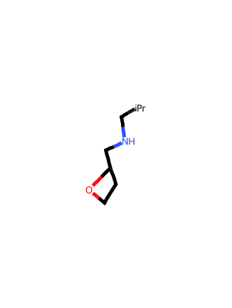 CC(C)CNCC1CCO1